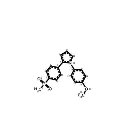 CS(=O)(=O)c1ccc(-c2cccn2-c2ccc(OC(F)(F)F)cc2)cc1